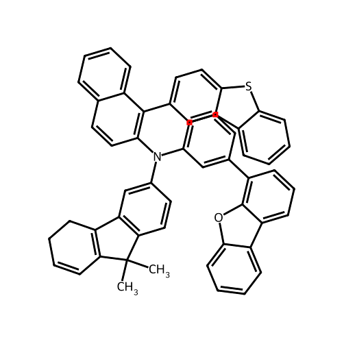 CC1(C)C2=C(CCC=C2)c2cc(N(c3cccc(-c4cccc5c4oc4ccccc45)c3)c3ccc4ccccc4c3-c3ccc4sc5ccccc5c4c3)ccc21